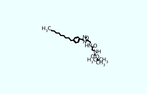 CCCCCCCCCCc1ccc(-c2noc(CNC(=O)CNC(=O)OC(C)(C)C)n2)cc1